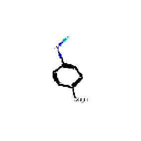 O=S(=O)(O)c1ccc([N]F)cc1